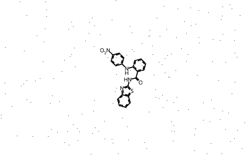 O=C(Nc1nc2ccccc2s1)c1ccccc1Nc1ccc([N+](=O)[O-])cc1